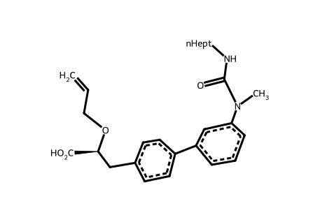 C=CCO[C@@H](Cc1ccc(-c2cccc(N(C)C(=O)NCCCCCCC)c2)cc1)C(=O)O